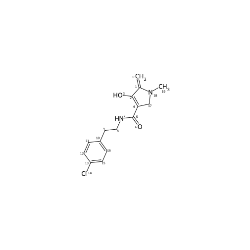 C=C1C(O)=C(C(=O)NCCc2ccc(Cl)cc2)CN1C